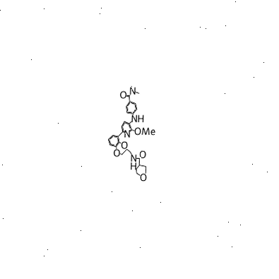 COc1nc(-c2cccc3c2OC(CNC(=O)C2CCOCC2)CO3)ccc1Nc1ccc(C(=O)N(C)C)cc1